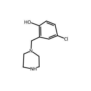 Oc1ccc(Cl)cc1CN1CCNCC1